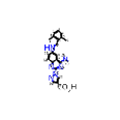 Cc1cccc(C)c1CNc1ccc2nc(-n3cc(C(=O)O)cn3)nc(N(C)C)c2c1